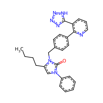 CCCCc1cn(-c2ccccc2)c(=O)n1Cc1ccc(-c2ncccc2-c2nnn[nH]2)cc1